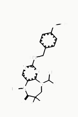 COc1ccc(CNc2ncc3c(n2)N(C(C)C)CC(F)(F)C(=O)N3C)cc1